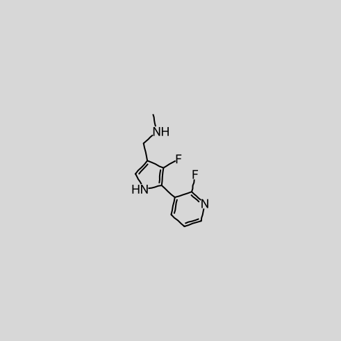 CNCc1c[nH]c(-c2cccnc2F)c1F